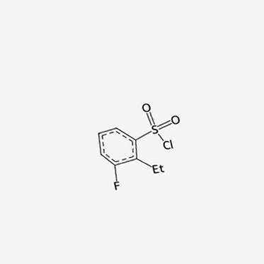 CCc1c(F)cccc1S(=O)(=O)Cl